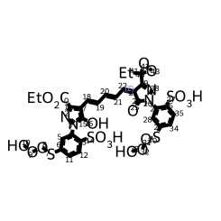 CCOC(=O)c1nn(-c2cc(SOOO)ccc2S(=O)(=O)O)c(O)c1C=CC=C/C=C1\C(=O)N(c2cc(SOOO)ccc2S(=O)(=O)O)N=C1C1(CC)OO1